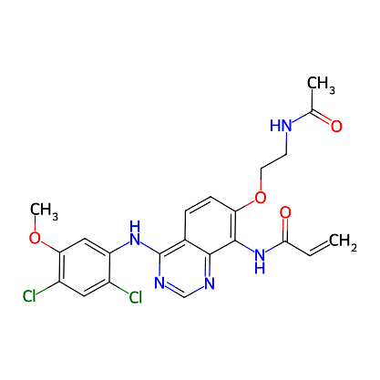 C=CC(=O)Nc1c(OCCNC(C)=O)ccc2c(Nc3cc(OC)c(Cl)cc3Cl)ncnc12